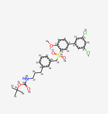 COc1ccc(-c2cc(Cl)cc(Cl)c2)cc1S(=O)(=O)Cc1cccc(CCCNC(=O)OC(C)(C)C)c1